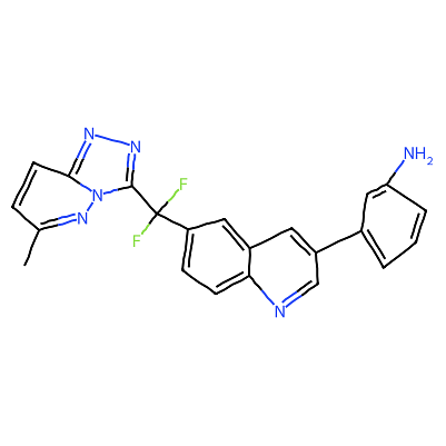 Cc1ccc2nnc(C(F)(F)c3ccc4ncc(-c5cccc(N)c5)cc4c3)n2n1